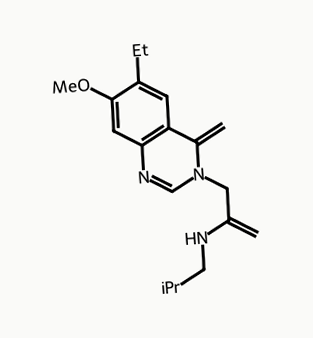 C=C(CN1C=Nc2cc(OC)c(CC)cc2C1=C)NCC(C)C